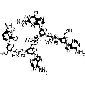 Nc1ccn([C@H]2C[C@@H](O)[C@@H](COP(=O)(S)O[C@@H]3C[C@H](n4cnc5c(N)ncnc54)O[C@@H]3COP(=O)(S)O[C@@H]3C[C@H](n4cnc5c(=O)[nH]c(N)nc54)O[C@@H]3COP(=O)(S)O[C@@H]3C[C@H](n4cnc5c(N)ncnc54)O[C@@H]3CO)O2)c(=O)n1